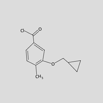 Cc1ccc(C(=O)Cl)cc1OCC1CC1